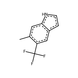 Cc1cc2[nH]ccc2cc1C(F)(F)F